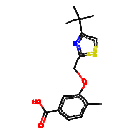 Cc1ccc(C(=O)O)cc1OCc1nc(C(C)(C)C)cs1